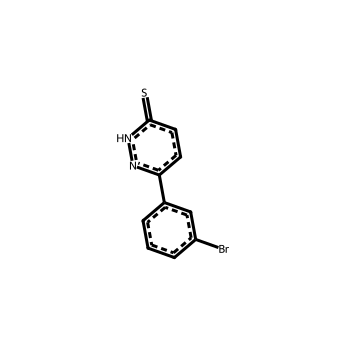 S=c1ccc(-c2cccc(Br)c2)n[nH]1